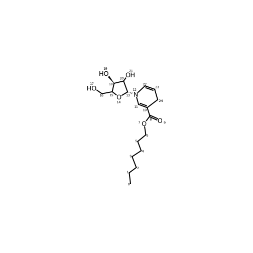 CCCCCCCOC(=O)C1=CN([C@@H]2OC(CO)[C@@H](O)C2O)C=CC1